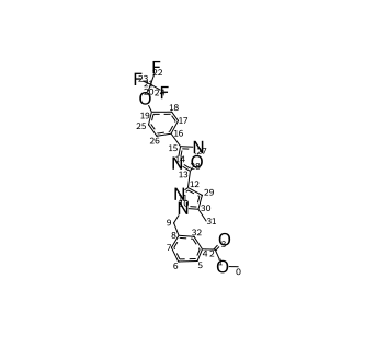 COC(=O)c1cccc(Cn2nc(-c3nc(-c4ccc(OC(F)(F)F)cc4)no3)cc2C)c1